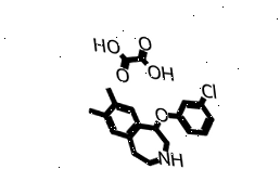 Cc1cc2c(cc1C)C(Oc1cccc(Cl)c1)CNCC2.O=C(O)C(=O)O